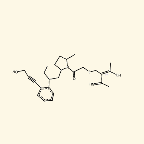 CCC(CC1CCC(C)N1C(=O)CSC/C(C(C)=N)=C(\C)O)c1ccccc1C#CCO